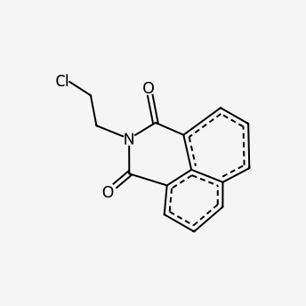 O=C1c2cccc3cccc(c23)C(=O)N1CCCl